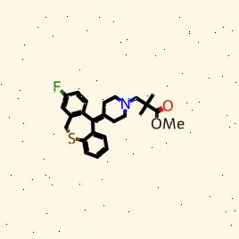 COC(=O)C(C)(C)CN1CCC(=C2c3ccc(F)cc3CSc3ccccc32)CC1